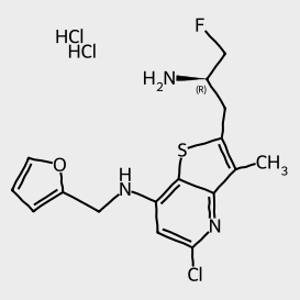 Cc1c(C[C@@H](N)CF)sc2c(NCc3ccco3)cc(Cl)nc12.Cl.Cl